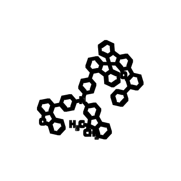 CC1(C)c2ccccc2-c2ccc(N(c3ccc(-c4cccc5c4-c4ccccc4C54c5ccccc5-c5ccc6c(c54)OC4C(c5ccccc5)=CC=CC64)cc3)c3ccc(-c4cccc5oc6ccccc6c45)cc3)cc21